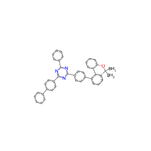 BC1(B)Oc2ccccc2-c2c(-c3ccc(-c4nc(-c5ccccc5)nc(-c5ccc(-c6ccccc6)cc5)n4)cc3)cccc21